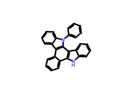 c1ccc(-n2c3ccccc3c3c4ccccc4c4[nH]c5ccccc5c4c32)cc1